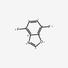 Fc1ccc(F)c2ocnc12